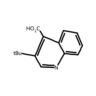 CC(C)(C)c1cnc2ccccc2c1C(=O)O